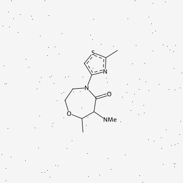 CNC1C(=O)N(c2csc(C)n2)CCOC1C